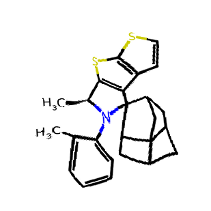 Cc1ccccc1N1[C@@H](C)c2sc3sccc3c2C12C1CC3CC(C1)CC2C3